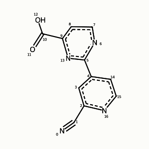 N#Cc1cc(-c2nccc(C(=O)O)n2)ccn1